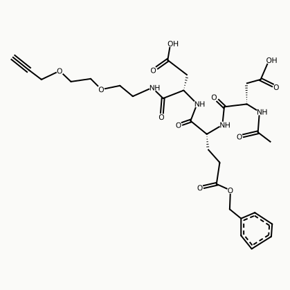 C#CCOCCOCCNC(=O)[C@H](CC(=O)O)NC(=O)[C@@H](CCC(=O)OCc1ccccc1)NC(=O)[C@H](CC(=O)O)NC(C)=O